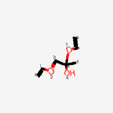 C=COCC(C)(O)OC=C